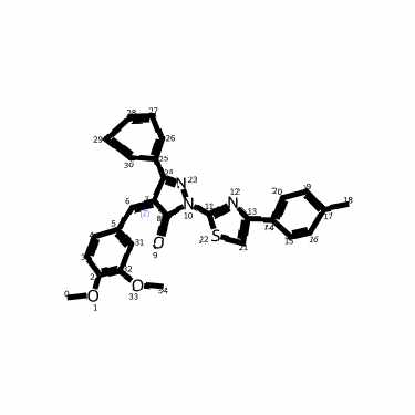 COc1ccc(/C=C2\C(=O)N(c3nc(-c4ccc(C)cc4)cs3)N=C2c2ccccc2)cc1OC